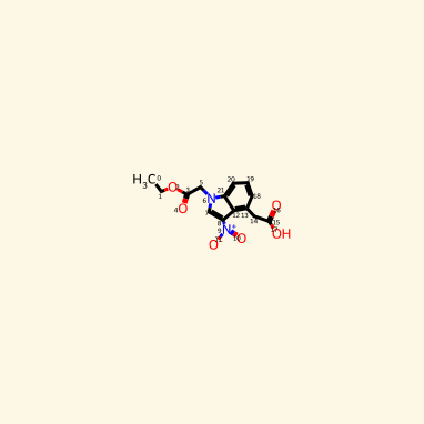 CCOC(=O)Cn1cc([N+](=O)[O-])c2c(CC(=O)O)cccc21